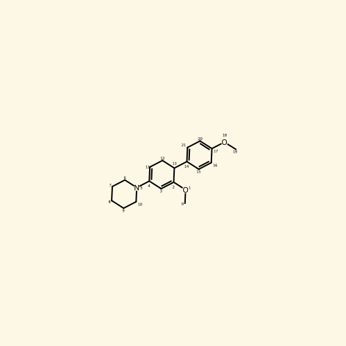 COC1=CC(N2CCCCC2)=CCC1c1ccc(OC)cc1